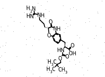 CC(C)(C)COC(=O)N[C@@H](Cc1ccc2c(c1)NC(=O)[C@@H](CCCNC(=N)N)O2)C(=O)O